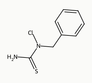 NC(=S)N(Cl)Cc1ccccc1